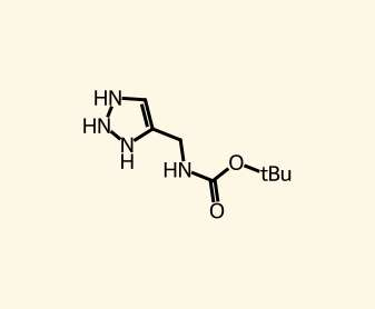 CC(C)(C)OC(=O)NCC1=CNNN1